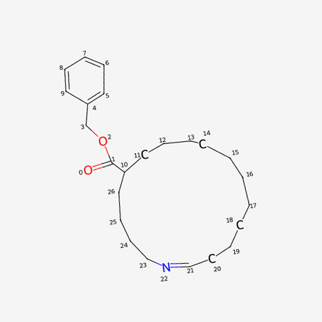 O=C(OCc1ccccc1)C1CCCCCCCCCCC=NCCCC1